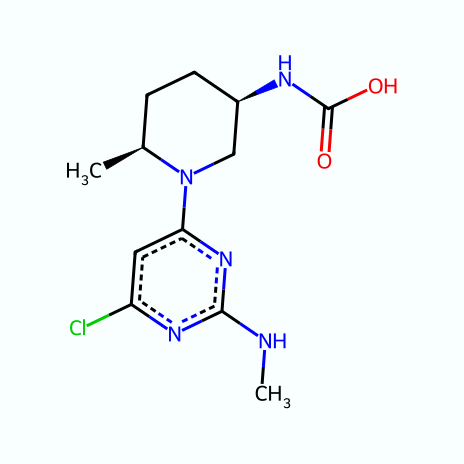 CNc1nc(Cl)cc(N2C[C@H](NC(=O)O)CC[C@@H]2C)n1